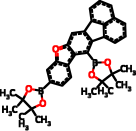 CC1(C)OB(c2ccc3c(c2)oc2cc4c(c(B5OC(C)(C)C(C)(C)O5)c23)-c2cccc3cccc-4c23)OC1(C)C